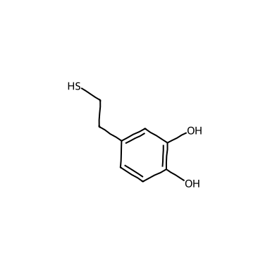 Oc1ccc(CCS)cc1O